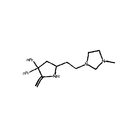 C=C1NC(CCN2CCN(C)C2)CC1(CCC)CCC